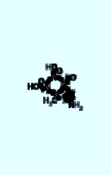 CCN1CCN(CC(=O)O)CCN(CC(=O)O)CCN(CC=O)C(Cc2ccc(N)cc2)C1